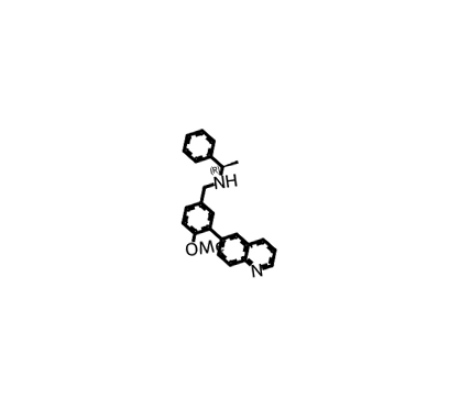 COc1ccc(CN[C@H](C)c2ccccc2)cc1-c1ccc2ncccc2c1